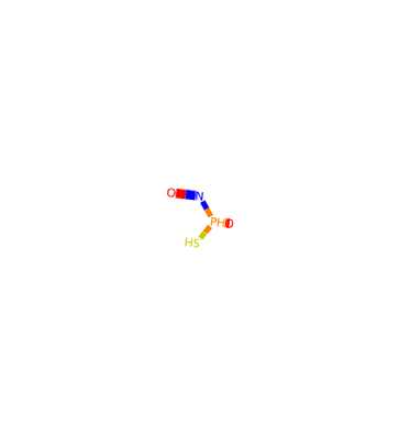 O=N[PH](=O)S